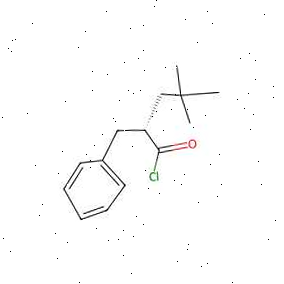 CC(C)(C)C[C@@H](Cc1ccccc1)C(=O)Cl